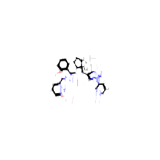 C=C1CC[C@H](CC(NC(=O)c2cccc(O)n2)c2ccccc2)[C@@]1(C)Cc1cnn(C2=CNCC=C2)c1C